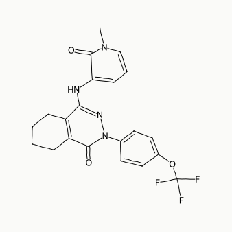 Cn1cccc(Nc2nn(-c3ccc(OC(F)(F)F)cc3)c(=O)c3c2CCCC3)c1=O